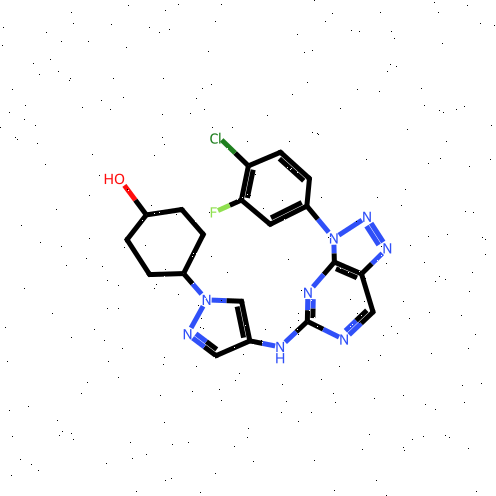 OC1CCC(n2cc(Nc3ncc4nnn(-c5ccc(Cl)c(F)c5)c4n3)cn2)CC1